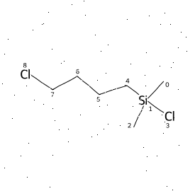 C[Si](C)(Cl)CCCCCl